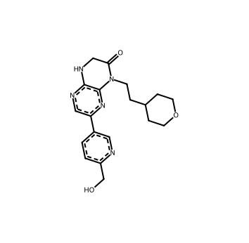 O=C1CNc2ncc(-c3ccc(CO)nc3)nc2N1CCC1CCOCC1